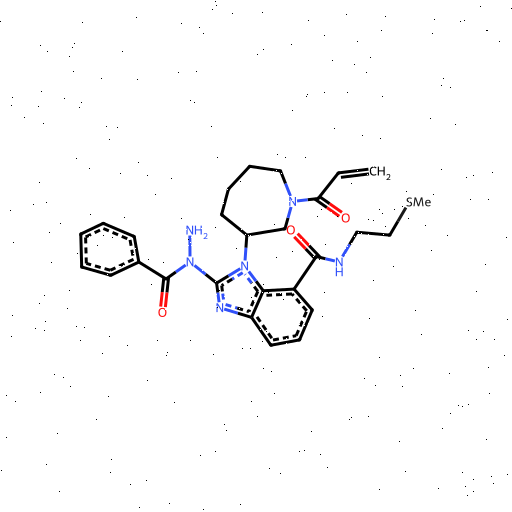 C=CC(=O)N1CCCCC(n2c(N(N)C(=O)c3ccccc3)nc3cccc(C(=O)NCCSC)c32)C1